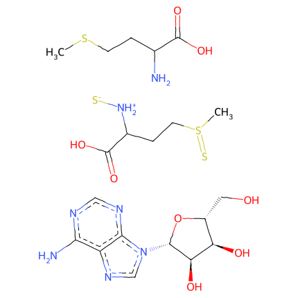 CS(=S)CCC([NH2+][S-])C(=O)O.CSCCC(N)C(=O)O.Nc1ncnc2c1ncn2[C@@H]1O[C@H](CO)[C@@H](O)[C@H]1O